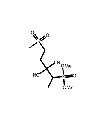 COP(=O)(OC)C(C)C(C#N)(C#N)CCS(=O)(=O)F